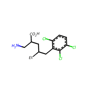 CCC(Cc1c(Cl)ccc(Cl)c1Cl)CC(CN)C(=O)O